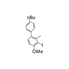 CCCCc1ccc(-c2ccc(OC)c(I)c2C)cc1